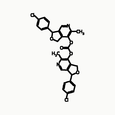 Cc1ncc2c(c1OC(=O)Oc1c(C)ncc3c1COC3c1ccc(Cl)cc1)COC2c1ccc(Cl)cc1